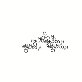 C1CCC(C2(C3CCCC3)CCCC2)C1.N[C@@H](Cc1c[nH]c2ccccc12)C(=O)O.N[C@@H](Cc1c[nH]c2ccccc12)C(=O)O.N[C@@H](Cc1c[nH]c2ccccc12)C(=O)O.N[C@@H](Cc1c[nH]c2ccccc12)C(=O)O